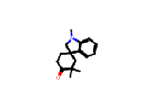 CN1CC2(CCC(=O)C(C)(C)C2)c2ccccc21